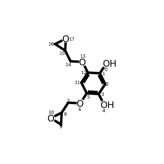 Oc1cc(O)c(OCC2CO2)cc1OCC1CO1